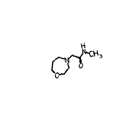 CNC(=O)CN1CCCOCC1